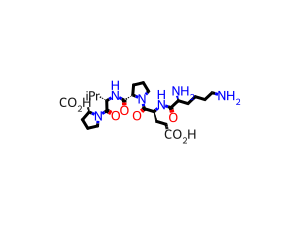 CC(C)[C@H](NC(=O)[C@@H]1CCCN1C(=O)[C@H](CCC(=O)O)NC(=O)[C@@H](N)CCCCN)C(=O)N1CCC[C@H]1C(=O)O